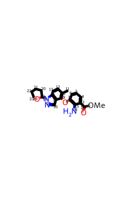 COC(=O)c1cccc(Oc2c(C)ccc3c2cnn3C2CCCCO2)c1N